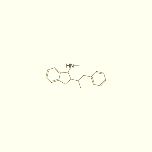 CNC1c2ccccc2CC1C(C)Cc1ccccc1